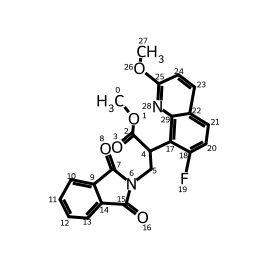 COC(=O)C(CN1C(=O)c2ccccc2C1=O)c1c(F)ccc2ccc(OC)nc12